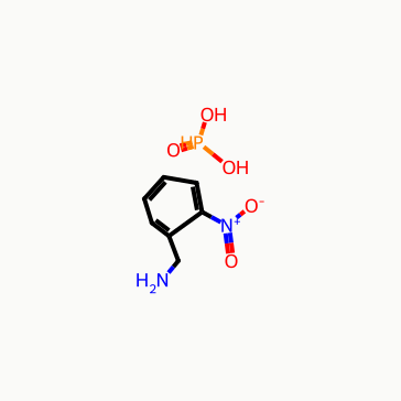 NCc1ccccc1[N+](=O)[O-].O=[PH](O)O